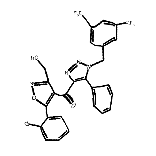 O=C(c1nnn(Cc2cc(C(F)(F)F)cc(C(F)(F)F)c2)c1-c1ccccc1)c1c(CO)noc1-c1ccccc1Cl